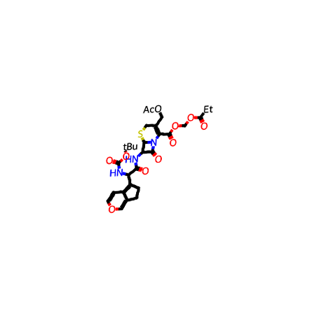 CCC(=O)OCOC(=O)C1=C(COC(C)=O)CSC2C(NC(=O)C(NC(=O)OC(C)(C)C)C3=C4C=COC=C4CC3)C(=O)N12